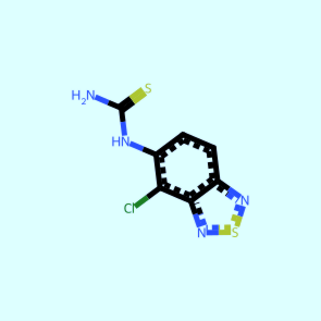 NC(=S)Nc1ccc2nsnc2c1Cl